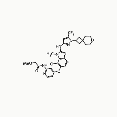 COCC(=O)Nc1cc(Oc2cnc3nc(Nc4cc(C(F)(F)F)n(C5CC6(CCOCC6)C5)n4)n(C)c3c2Cl)ccn1